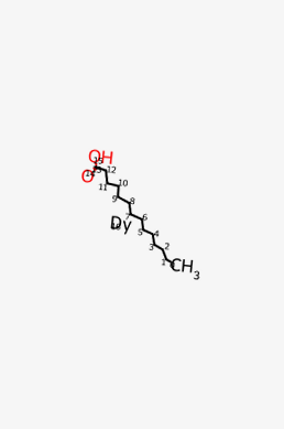 CCCCCCCCCCCCCC(=O)O.[Dy]